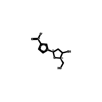 O=[N+]([O-])c1ccn([C@H]2CC(O)[C@@H](CO)O2)c1